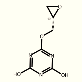 Oc1nc(O)nc(OC[C@@H]2CO2)n1